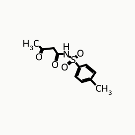 CC(=O)CC(=O)NS(=O)(=O)c1ccc(C)cc1